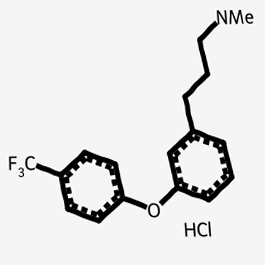 CNCCCc1cccc(Oc2ccc(C(F)(F)F)cc2)c1.Cl